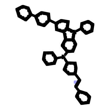 C(=C\c1ccc(N(c2ccccc2)c2ccc3c(c2)c2cc(-c4ccc(-c5ccccc5)cc4)ccc2n3-c2ccccc2)cc1)/c1ccccc1